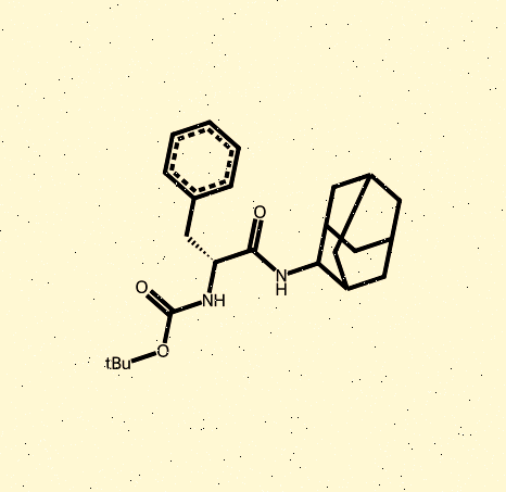 CC(C)(C)OC(=O)N[C@H](Cc1ccccc1)C(=O)NC1C2CC3CC(C2)CC1C3